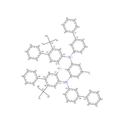 Cc1cc2c3c(c1)N(c1cccc(-c4ccccc4)c1)c1cc(C(C)(C)C)c(-c4ccccc4)cc1B3c1cc(-c3ccccc3)c(C(C)(C)C)cc1N2c1cccc(-c2ccccc2)c1